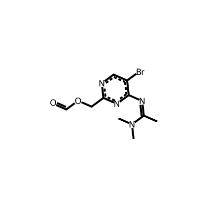 CC(=Nc1nc(COC=O)ncc1Br)N(C)C